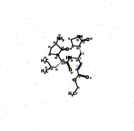 CCOC(=O)/C=C/[C@H](C[C@@H]1CCNC1=O)NC(=O)[C@H](CC(C)C)N1CCC(N)C1=O